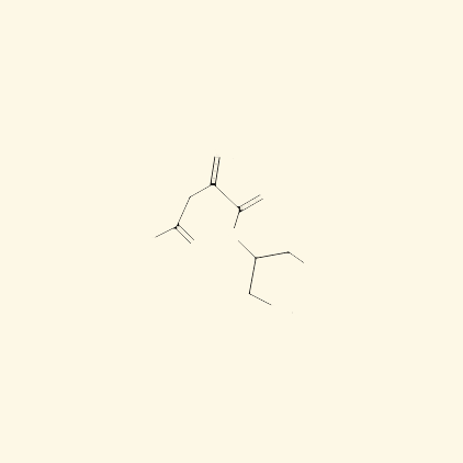 C=C(CC(=O)O)C(=O)OC(CC)CC